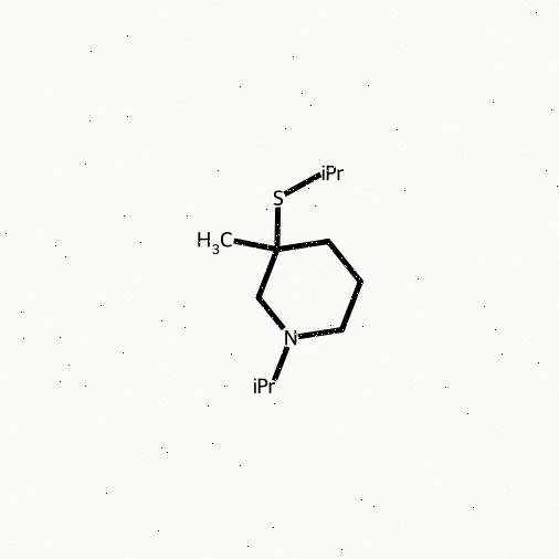 CC(C)SC1(C)CCCN(C(C)C)C1